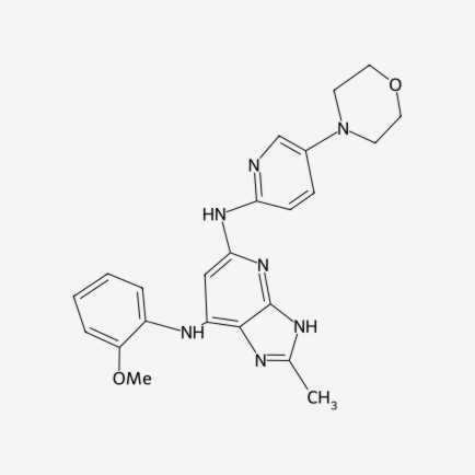 COc1ccccc1Nc1cc(Nc2ccc(N3CCOCC3)cn2)nc2[nH]c(C)nc12